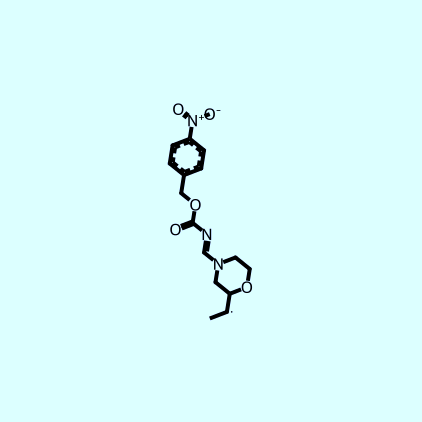 C[CH]C1CN(C=NC(=O)OCc2ccc([N+](=O)[O-])cc2)CCO1